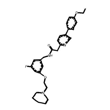 CCOc1ccc(-c2ccc(CC(=O)NCc3cc(F)cc(OCCN4CCCCC4)c3)nc2)cc1